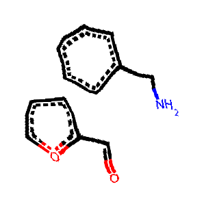 NCc1ccccc1.O=Cc1ccco1